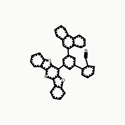 N#Cc1ccccc1-c1cc(-c2cc3ccccc3c3ccccc23)cc(-c2c3oc4ccccc4c3nc3c2oc2ccccc23)c1